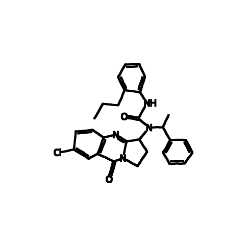 CCCc1ccccc1NC(=O)N(C(C)c1ccccc1)C1CCn2c1nc1ccc(Cl)cc1c2=O